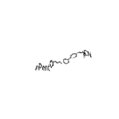 CCCCCc1ccc(CCCC[C@H]2CC[C@H]([C@H]3CC[C@H](C=CC=C(F)C#N)CC3)CC2)cc1